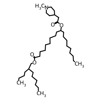 CCCCCCCCCC(CCCCCCCCC(=O)OCC(CCCC)CCCCCC)OC(=O)CC1CCN(C)CC1